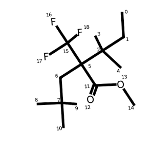 CCC(C)(C)C(CC(C)(C)C)(C(=O)OC)C(F)(F)F